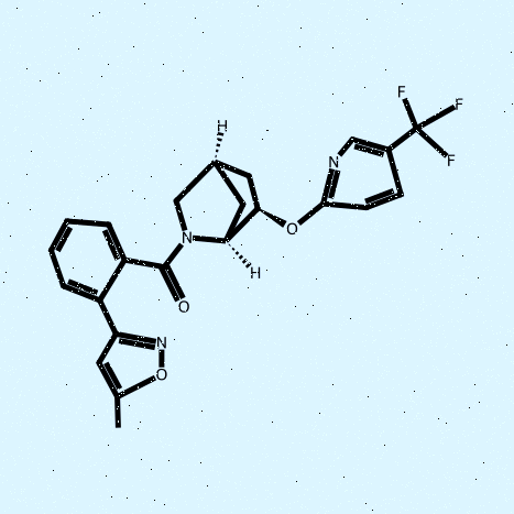 Cc1cc(-c2ccccc2C(=O)N2C[C@H]3C[C@@H](Oc4ccc(C(F)(F)F)cn4)[C@@H]2C3)no1